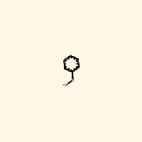 O[B]c1ccccc1